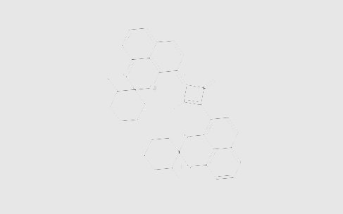 O=C1C(c2ccc3cccc4c3c2NC2(CCCCC2Cl)N4)=C(O)/C1=c1/ccc2cccc3c2c1NC1(CCCCC1Cl)N=3